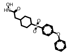 O=C(CC1CCC(S(=O)(=O)c2ccc(Oc3ccccc3)cc2)CC1)NO